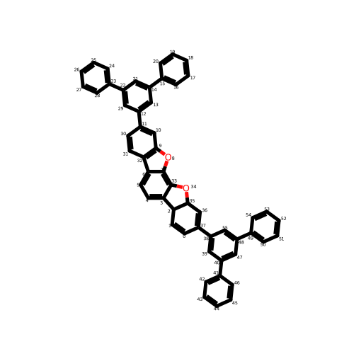 C1=CC2c3ccc4c(oc5cc(-c6cc(-c7ccccc7)cc(-c7ccccc7)c6)ccc54)c3OC2C=C1c1cc(-c2ccccc2)cc(-c2ccccc2)c1